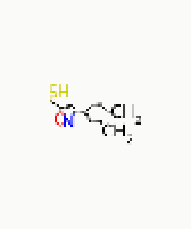 C=C/C=C\C(=C/C=C)c1cc(CS)on1